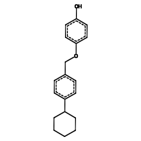 Oc1ccc(OCc2ccc(C3CCCCC3)cc2)cc1